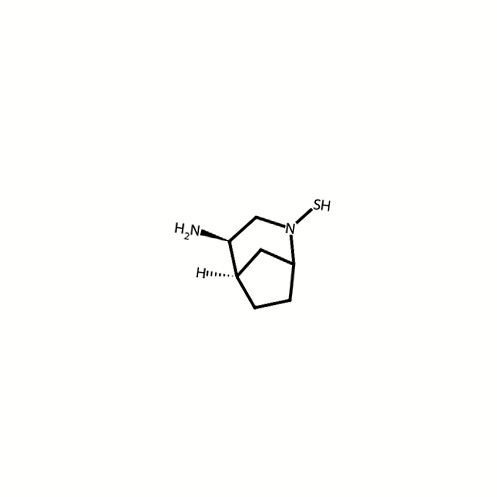 N[C@H]1CN(S)C2CC[C@@H]1C2